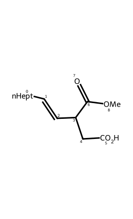 CCCCCCCC=CC(CC(=O)O)C(=O)OC